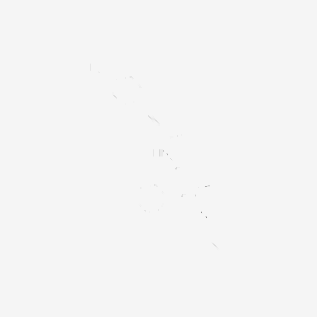 C=CCN1CC[C@@]2(c3cccc(O)c3)C[C@@H](NC(=O)C#Cc3ccc(C(F)(F)F)cc3)CC[C@]2(O)C1